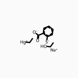 CCO.C[CH2][Hg+].O=C([O-])c1ccccc1[S-].[Na+]